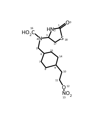 O=C1NC(N(CC2CCC(CCO[N+](=O)[O-])CC2)C(=O)O)CS1